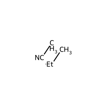 CC#N.C[CH]C